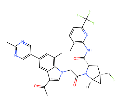 CC(=O)c1cn(CC(=O)N2[C@H](C(=O)Nc3nc(C(F)(F)F)ccc3C)C[C@@]3(CF)C[C@@H]23)c2c(C)cc(-c3cnc(C)nc3)cc12